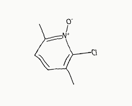 Cc1ccc(C)[n+]([O-])c1Cl